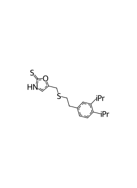 CC(C)c1ccc(CCSCc2c[nH]c(=S)o2)cc1C(C)C